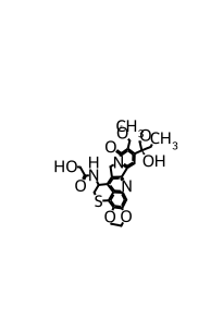 CC[C@@](O)(C=O)c1cc2n(c(=O)c1COC)Cc1c-2nc2cc3c(c4c2c1C(NC(=O)CO)CS4)OCCO3